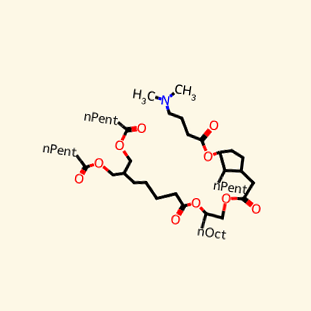 CCCCCCCCC(COC(=O)CC1CCC(OC(=O)CCCN(C)C)C1CCCCC)OC(=O)CCCCC(COC(=O)CCCCC)COC(=O)CCCCC